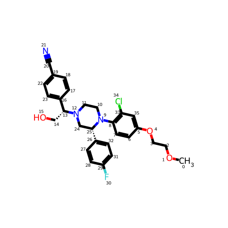 COCCOc1ccc(N2CCN([C@H](CO)c3ccc(C#N)cc3)C[C@H]2c2ccc(F)cc2)c(Cl)c1